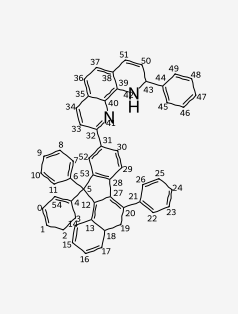 C1=CCCC(C2(c3ccccc3)C3=C4C=CC=CC4CC(c4ccccc4)=C3c3ccc(-c4ccc5ccc6c(c5n4)NC(c4ccccc4)C=C6)cc32)=C1